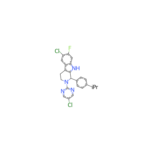 CC(C)c1ccc(C2c3[nH]c4cc(F)c(Cl)cc4c3CCN2c2ncc(Cl)cn2)cc1